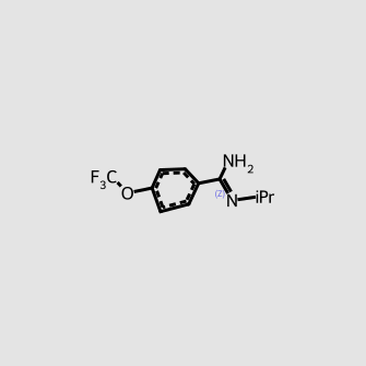 CC(C)/N=C(\N)c1ccc(OC(F)(F)F)cc1